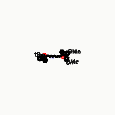 COc1ccc(C(OCCCCC/C=C/CCCO[Si](c2ccccc2)(c2ccccc2)C(C)(C)C)(c2ccccc2)c2ccc(OC)cc2)cc1